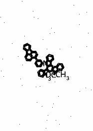 CC1(C)c2ccccc2-c2c1c1oc3ccccc3c1c1c2c2ccccc2n1-c1cccc(-c2ccc3c4c(cccc24)-c2ccccc2-3)c1